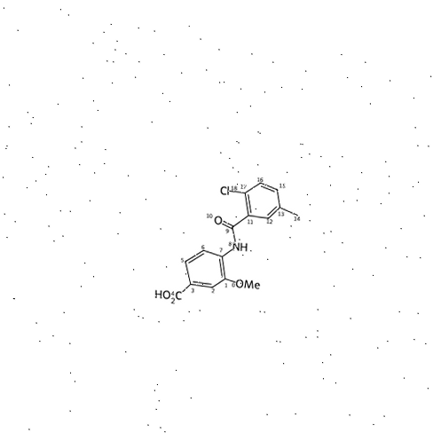 COc1cc(C(=O)O)ccc1NC(=O)c1cc(C)ccc1Cl